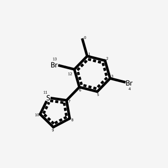 Cc1cc(Br)cc(-c2cccs2)c1Br